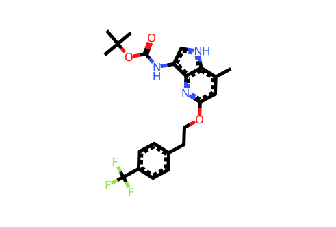 Cc1cc(OCCc2ccc(C(F)(F)F)cc2)nc2c(NC(=O)OC(C)(C)C)c[nH]c12